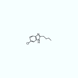 CC[CH]Cc1nc2ccc(Cl)cc2[nH]1